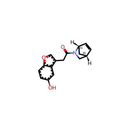 O=C(Cc1coc2ccc(O)cc12)N1C[C@H]2C=C[C@@H]1C2